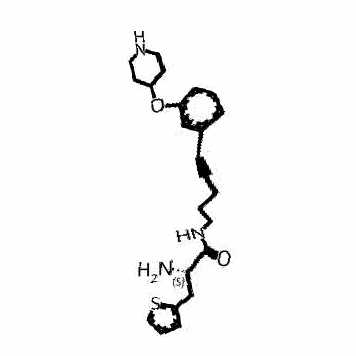 N[C@@H](Cc1cccs1)C(=O)NCCCC#Cc1cccc(OC2CCNCC2)c1